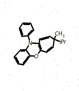 CC(C)C1(C)C=CC2=C(C=C1)N(c1ccccc1)c1ccccc1O2